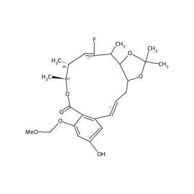 COCOc1cc(O)cc2c1C(=O)O[C@@H](C)[C@H](C)/C=C(/F)C(C)C1OC(C)(C)OC1C/C=C/2